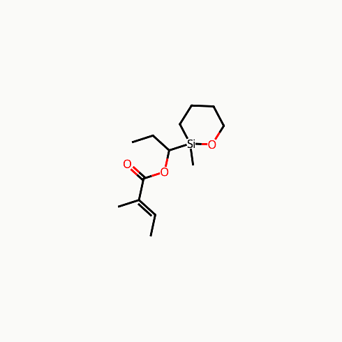 CC=C(C)C(=O)OC(CC)[Si]1(C)CCCCO1